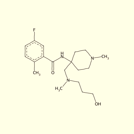 Cc1ccc(F)cc1C(=O)NC1(CN(C)CCCO)CCN(C)CC1